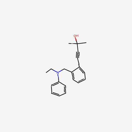 CCN(Cc1ccccc1C#CC(C)(C)O)c1ccccc1